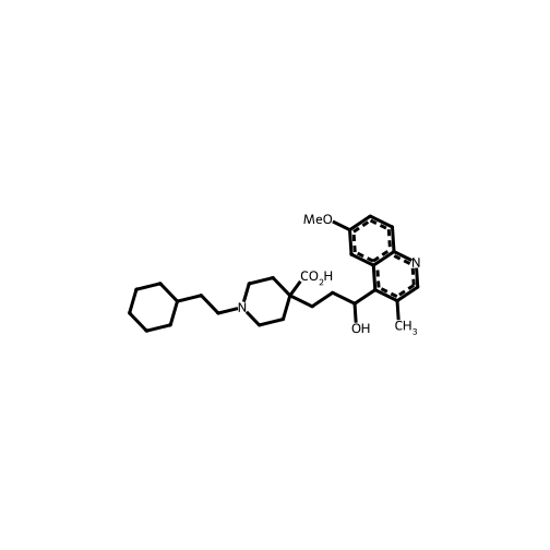 COc1ccc2ncc(C)c(C(O)CCC3(C(=O)O)CCN(CCC4CCCCC4)CC3)c2c1